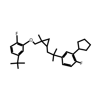 CC(C)(C)c1ccc(F)c(OCC2(C)CC2CC(C)(C)c2ccc(F)c(C3CCCC3)c2)c1